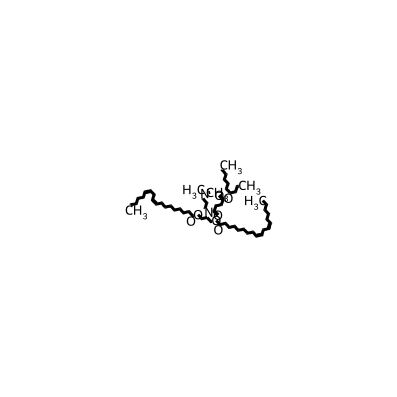 CCCCC/C=C\C/C=C\CCCCCCCC(=O)OCC(COC(=O)CCCCCCC/C=C\C/C=C\CCCCC)N(CCCN(C)C)C(=O)CCC(=O)OC(CCC)CCCCCC